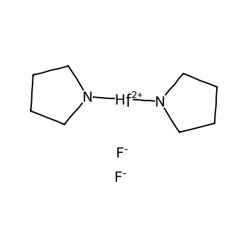 C1CC[N]([Hf+2][N]2CCCC2)C1.[F-].[F-]